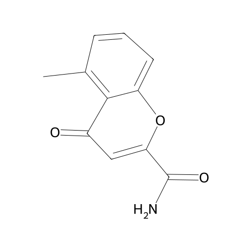 Cc1cccc2oc(C(N)=O)cc(=O)c12